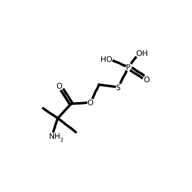 CC(C)(N)C(=O)OCSP(=O)(O)O